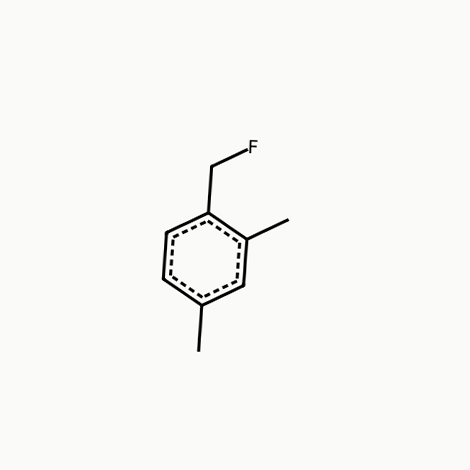 Cc1ccc(CF)c(C)c1